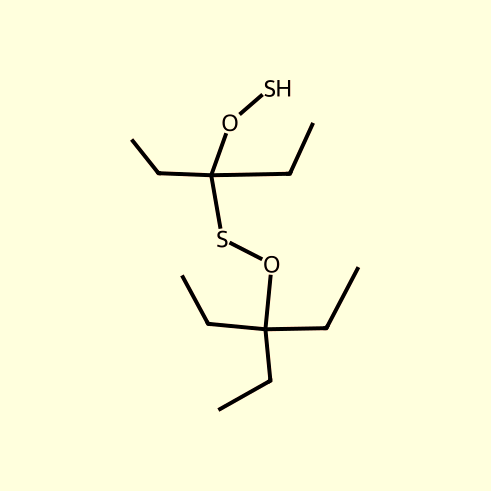 CCC(CC)(CC)OSC(CC)(CC)OS